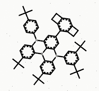 CC(C)(C)c1ccc(N2c3ccc(C(C)(C)C)cc3B3c4cc(C(C)(C)C)ccc4N(c4cc(C(C)(C)C)cc(C(C)(C)C)c4)c4cc(-c5c6c(cc7c5CC7)CC6)cc2c43)cc1